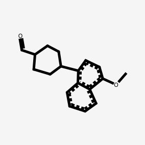 COc1ccc(C2CCC(C=O)CC2)c2ccccc12